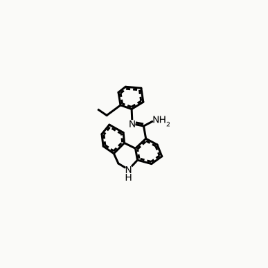 CCc1ccccc1N=C(N)c1cccc2c1-c1ccccc1CN2